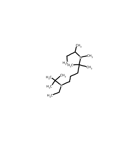 CCC(C)N(C)C(C)(C)CCCN(CC)C(C)(C)C